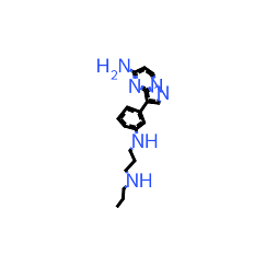 CCCNCCCNc1cccc(-c2cnn3ccc(N)nc23)c1